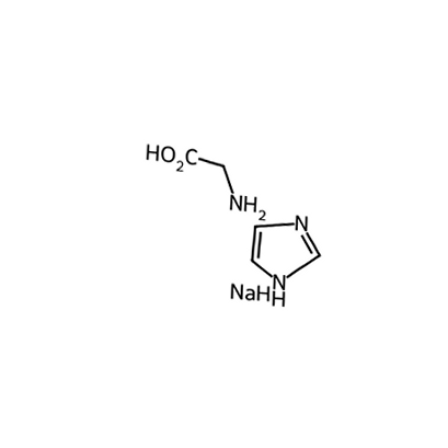 NCC(=O)O.[NaH].c1c[nH]cn1